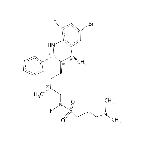 C[C@H](CC[C@@H]1[C@H](C)c2cc(Br)cc(F)c2N[C@H]1c1ccccc1)CN(I)S(=O)(=O)CCCN(C)C